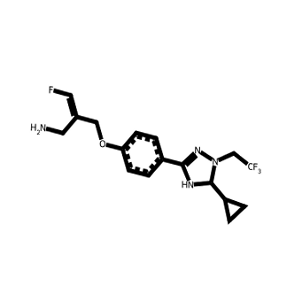 NC/C(=C\F)COc1ccc(C2=NN(CC(F)(F)F)C(C3CC3)N2)cc1